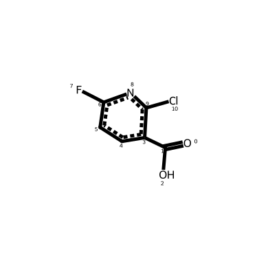 O=C(O)c1ccc(F)nc1Cl